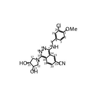 COc1ccc(CNc2nnc(N3CC(O)C(O)C3)c3ccc(C#N)cc23)cc1Cl